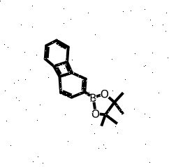 CC1(C)OB(c2ccc3c(c2)=c2ccccc2=3)OC1(C)C